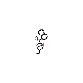 C=CC1CN2CCC1CC2[C@H](OC)c1ccnc2ccccc12